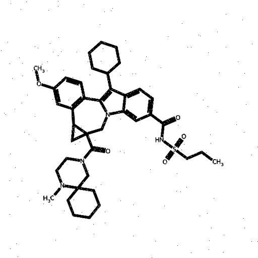 CCCS(=O)(=O)NC(=O)c1ccc2c(C3CCCCC3)c3n(c2c1)CC1(C(=O)N2CCN(C)C4(CCCCC4)C2)CC1c1cc(OC)ccc1-3